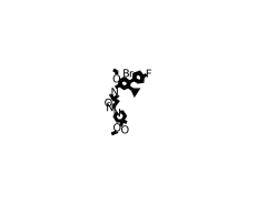 CCOC(=O)C1(C)CCN(C2=NOC3(C2)CN(Cc2cc(C4CC4)c(-c4ccc(F)cc4)c(Br)c2OCC)C3)CC1